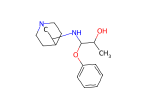 CC(O)C(NC1CN2CCC1CC2)Oc1ccccc1